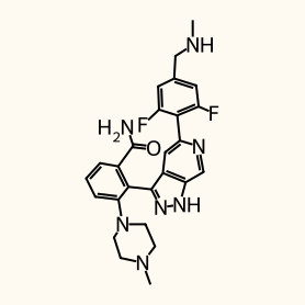 CNCc1cc(F)c(-c2cc3c(-c4c(C(N)=O)cccc4N4CCN(C)CC4)n[nH]c3cn2)c(F)c1